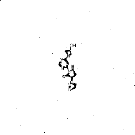 O=c1c(-n2ccnn2)c[nH]n1-c1cc(N2CC(O)C2)ncn1